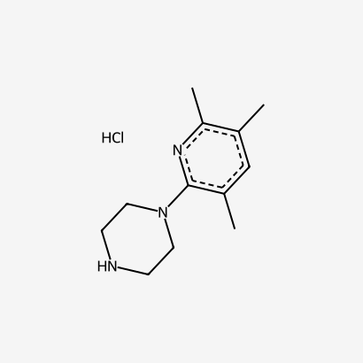 Cc1cc(C)c(N2CCNCC2)nc1C.Cl